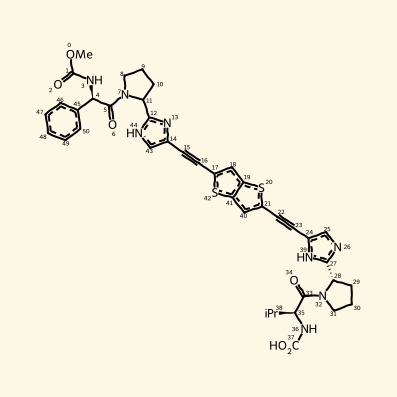 COC(=O)N[C@@H](C(=O)N1CCCC1c1nc(C#Cc2cc3sc(C#Cc4cnc([C@@H]5CCCN5C(=O)[C@@H](NC(=O)O)C(C)C)[nH]4)cc3s2)c[nH]1)c1ccccc1